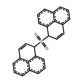 O=S(=O)(C1C=Cc2cccc3cccc1c23)C1C=Cc2cccc3cccc1c23